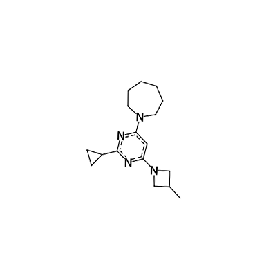 CC1CN(c2cc(N3CCCCCC3)nc(C3CC3)n2)C1